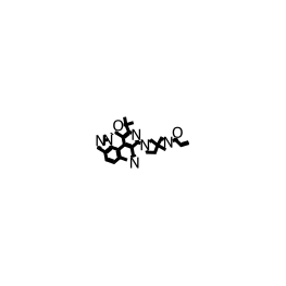 C=CC(=O)N1CC2(CCN(c3nc4c(c(-c5c(C)ccc6cnn(C)c56)c3C#N)COC4(C)C)C2)C1